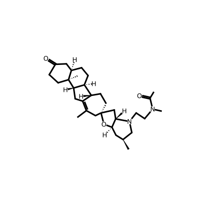 CC(=O)N(C)CCN1C[C@@H](C)C[C@H]2O[C@]3(CC[C@@H]4C(=C(C)C3)C[C@H]3[C@H]4CC[C@@H]4CC(=O)CC[C@@]43C)C[C@@H]21